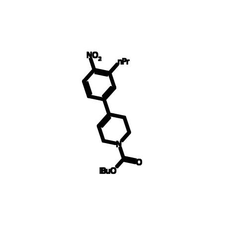 CCCc1cc(C2=CCN(C(=O)OCC(C)C)CC2)ccc1[N+](=O)[O-]